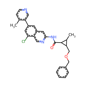 Cc1ccncc1-c1cc(Cl)c2cnc(NC(=O)C3C(C)C3COCc3ccccc3)cc2c1